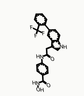 O=C(Cc1c[nH]c2ccc(-c3ccccc3C(F)(F)F)cc12)Nc1ccc(C(=O)NO)cc1